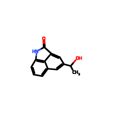 CC(O)c1cc2c3c(cccc3c1)NC2=O